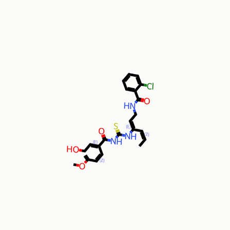 C=C(/C=C\C(=C/CO)C(=O)NC(=S)NC(/C=C\C)=C/CNC(=O)c1ccccc1Cl)OC